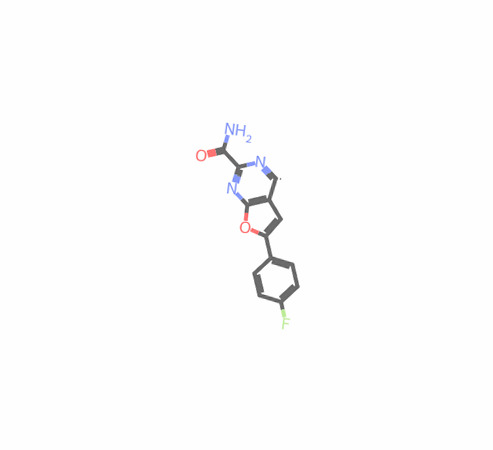 NC(=O)c1n[c]c2cc(-c3ccc(F)cc3)oc2n1